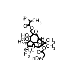 CCCCCCCCCCCC(=O)O[C@@]12CC(C)C34C=C(C)[C@H](O)[C@@]3(O)[C@H](O)C3(COC(=O)C(C)C(C)C)OC3[C@H](C4=O)C1C2(C)C